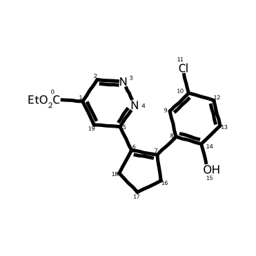 CCOC(=O)c1cnnc(C2=C(c3cc(Cl)ccc3O)CCC2)c1